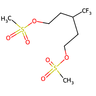 CS(=O)(=O)OCCC(CCOS(C)(=O)=O)C(F)(F)F